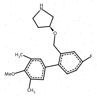 COc1c(C)cc(-c2ccc(F)cc2CO[C@H]2CCNC2)cc1C